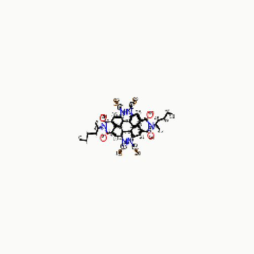 CCCCC(C)N1C(=O)c2cc(N=C=S)c3c4c(N=C=S)cc5c6c(cc(N=C=S)c(c7c(N=C=S)cc(c2c37)C1=O)c64)C(=O)N(C(C)CCCC)C5=O